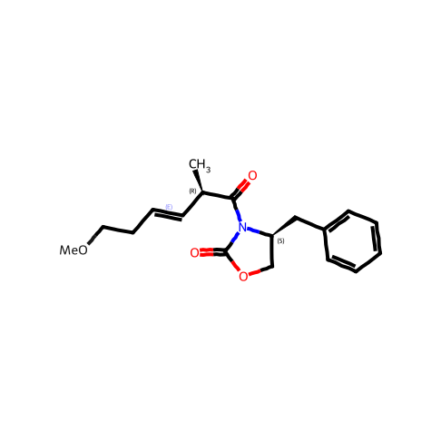 COCC/C=C/[C@@H](C)C(=O)N1C(=O)OC[C@@H]1Cc1ccccc1